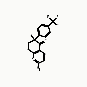 CC1(c2ccc(C(F)(F)F)cc2)CCc2nc(Cl)ccc2C1=O